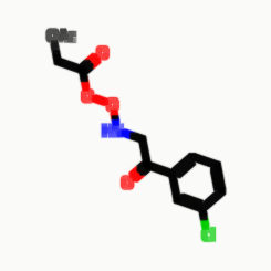 CC(=O)OCC(=O)OONCC(=O)c1cccc(Cl)c1